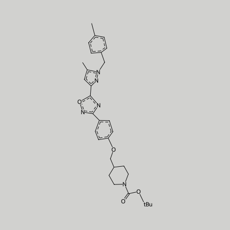 Cc1ccc(Cn2nc(-c3nc(-c4ccc(OCC5CCN(C(=O)OC(C)(C)C)CC5)cc4)no3)cc2C)cc1